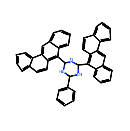 c1ccc(C2NC(c3c4ccccc4cc4c3ccc3ccccc34)NC(c3c4ccccc4cc4c3ccc3ccccc34)N2)cc1